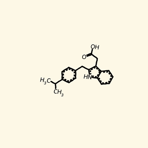 CC(C)c1ccc(Cc2[nH]c3ccccc3c2CC(=O)O)cc1